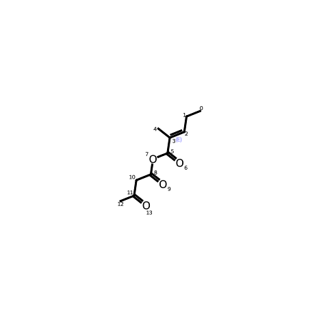 CC/C=C(\C)C(=O)OC(=O)CC(C)=O